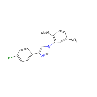 CNc1ccc([N+](=O)[O-])cc1-n1cnc(-c2ccc(F)cc2)c1